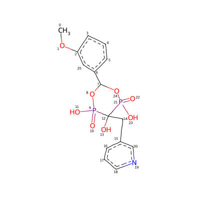 COc1cccc(C2OP(=O)(O)C(O)(Cc3cccnc3)P(=O)(O)O2)c1